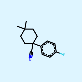 CC1(C)CCC(C#N)(c2ccc(F)cc2)CC1